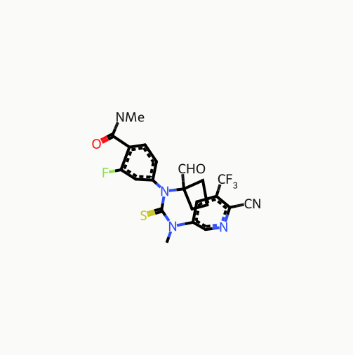 CNC(=O)c1ccc(N(C(=S)N(C)c2cnc(C#N)c(C(F)(F)F)c2)C2(C=O)CCC2)cc1F